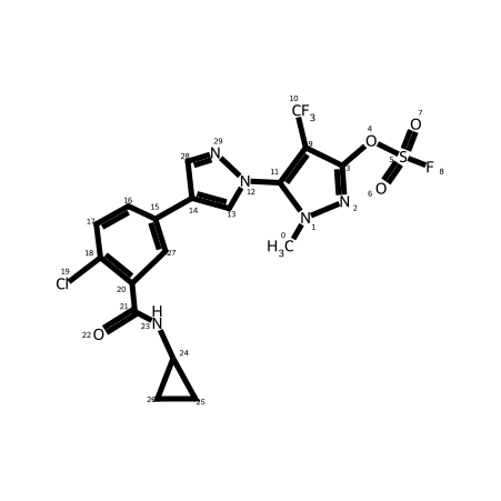 Cn1nc(OS(=O)(=O)F)c(C(F)(F)F)c1-n1cc(-c2ccc(Cl)c(C(=O)NC3CC3)c2)cn1